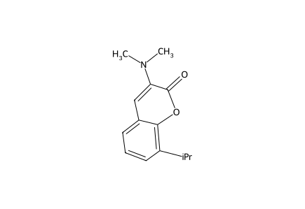 CC(C)c1cccc2cc(N(C)C)c(=O)oc12